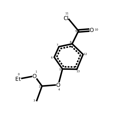 CCOC(C)Oc1ccc(C(=O)Cl)cc1